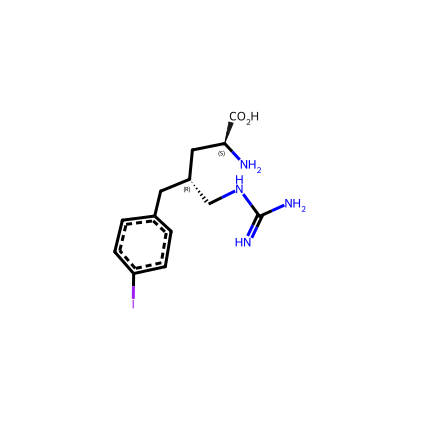 N=C(N)NC[C@H](Cc1ccc(I)cc1)C[C@H](N)C(=O)O